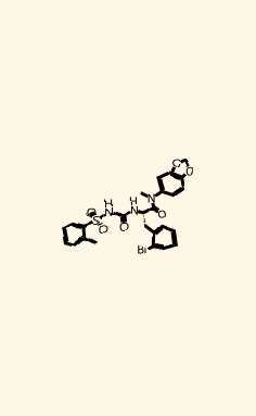 Cc1ccccc1S(=O)(=O)NC(=O)N[C@@H](Cc1ccccc1Br)C(=O)N(C)c1ccc2c(c1)OCO2